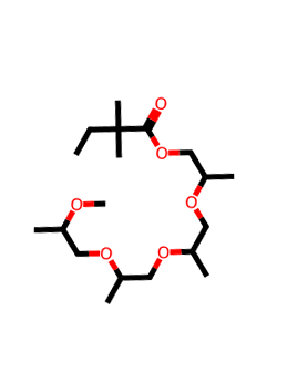 CCC(C)(C)C(=O)OCC(C)OCC(C)OCC(C)OCC(C)OC